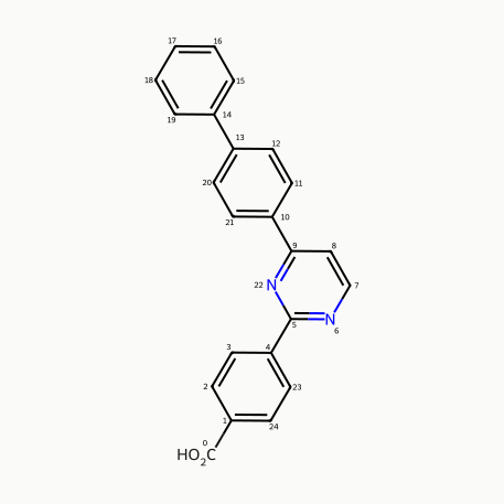 O=C(O)c1ccc(-c2nccc(-c3ccc(-c4ccccc4)cc3)n2)cc1